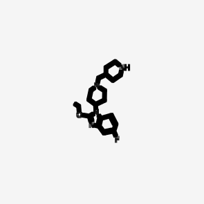 CCOc1nc2cc(F)ccc2n1C1CCN(CC2CCNCC2)CC1